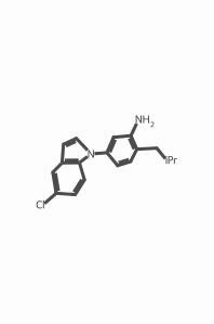 CC(C)Cc1ccc(-n2ccc3cc(Cl)ccc32)cc1N